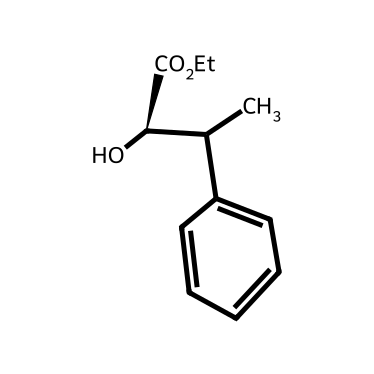 CCOC(=O)[C@H](O)C(C)c1ccccc1